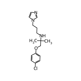 CC(C)(COc1ccc(Cl)cc1)NCCCn1ccnc1